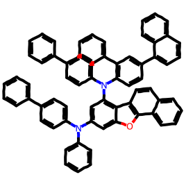 c1ccc(-c2ccc(N(c3ccccc3)c3cc(N(c4ccc(-c5ccccc5)cc4)c4ccc(-c5cccc6ccccc56)cc4-c4ccccc4)c4c(c3)oc3c5ccccc5ccc34)cc2)cc1